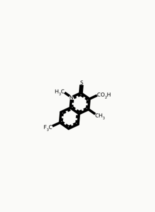 Cc1c(C(=O)O)c(=S)n(C)c2cc(C(F)(F)F)ccc12